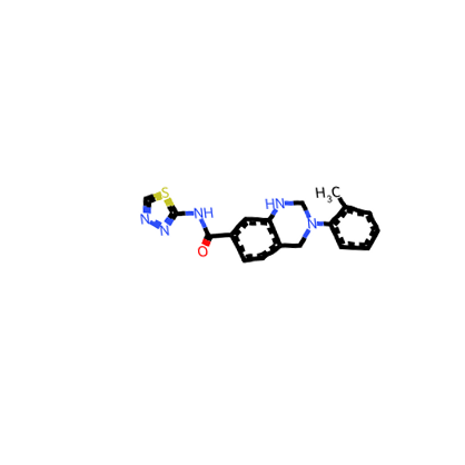 Cc1ccccc1N1CNc2cc(C(=O)Nc3nncs3)ccc2C1